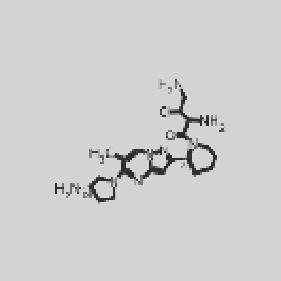 Cc1cn2nc([C@@H]3CCCCN3C(=O)C(N)C(Cl)CN)cc2nc1N1CC[C@H](N)C1